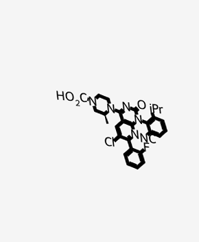 CC(C)c1cccc(C#N)c1-n1c(=O)nc(N2CCN(C(=O)O)C[C@@H]2C)c2cc(Cl)c(-c3ccccc3F)nc21